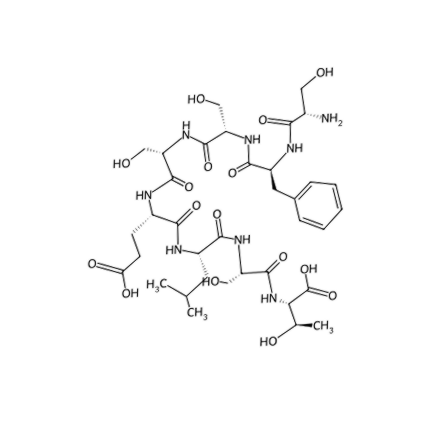 CC(C)C[C@H](NC(=O)[C@H](CCC(=O)O)NC(=O)[C@H](CO)NC(=O)[C@H](CO)NC(=O)[C@H](Cc1ccccc1)NC(=O)[C@@H](N)CO)C(=O)N[C@@H](CO)C(=O)N[C@H](C(=O)O)[C@@H](C)O